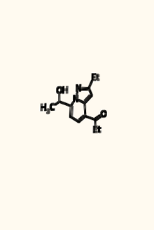 CCC(=O)c1ccc(C(C)O)n2nc(CC)cc12